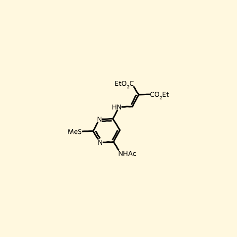 CCOC(=O)C(=CNc1cc(NC(C)=O)nc(SC)n1)C(=O)OCC